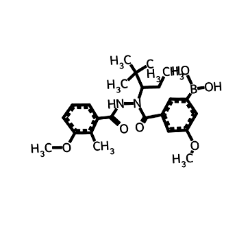 CCC(N(NC(=O)c1cccc(OC)c1C)C(=O)c1cc(OC)cc(B(O)O)c1)C(C)(C)C